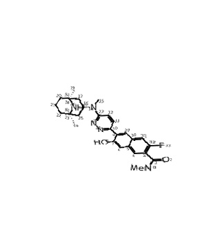 CNC(=O)c1cc2cc(O)c(-c3ccc(N(C)[C@H]4C[C@]5(C)CCC[C@](C)(C4)N5)nn3)cc2cc1F